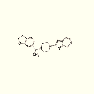 CC(c1ccc2c(c1)OCC2)N1CCN(c2nc3ccccc3s2)CC1